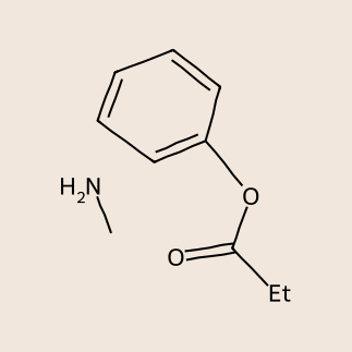 CCC(=O)Oc1ccccc1.CN